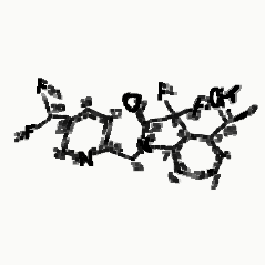 C[C@H](O)c1cccc2c1C(F)(F)C(=O)N2Cc1ccc(C(F)F)cn1